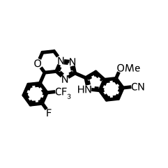 COc1c(C#N)ccc2[nH]c(-c3nc4n(n3)CCOC4c3cccc(F)c3C(F)(F)F)cc12